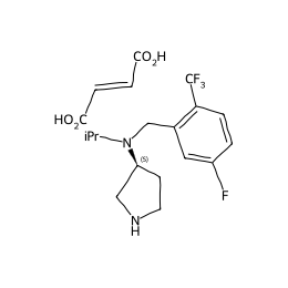 CC(C)N(Cc1cc(F)ccc1C(F)(F)F)[C@H]1CCNC1.O=C(O)C=CC(=O)O